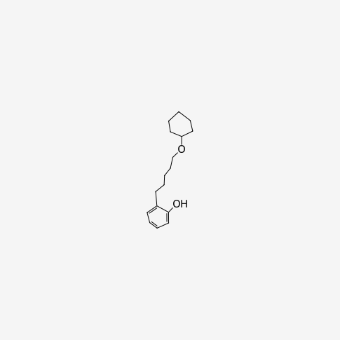 Oc1ccccc1CCCCCOC1CCCCC1